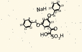 O=C(c1cc(OCc2ccccc2)cc(OCc2ccccc2)c1)C(O)S(=O)(=O)O.[NaH]